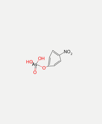 O=[N+]([O-])c1ccc(O[As](=O)(O)O)cc1